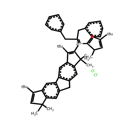 CC1C=C(C(C)(C)C)C=[C]1[Zr+2]([C]1=C(C(C)(C)C)c2cc3c(cc2C1(C)C)Cc1cc2c(cc1-3)C(C(C)(C)C)=CC2(C)C)=[C](Cc1ccccc1)Cc1ccccc1.[Cl-].[Cl-]